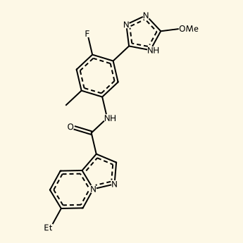 CCc1ccc2c(C(=O)Nc3cc(-c4nnc(OC)[nH]4)c(F)cc3C)cnn2c1